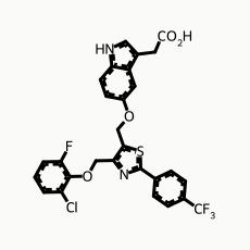 O=C(O)Cc1c[nH]c2ccc(OCc3sc(-c4ccc(C(F)(F)F)cc4)nc3COc3c(F)cccc3Cl)cc12